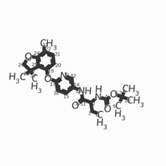 CCC(NC(=O)OC(C)(C)C)C(=O)Nc1ccc(Oc2ccc(C)c3c2C(C)(C)CO3)nc1